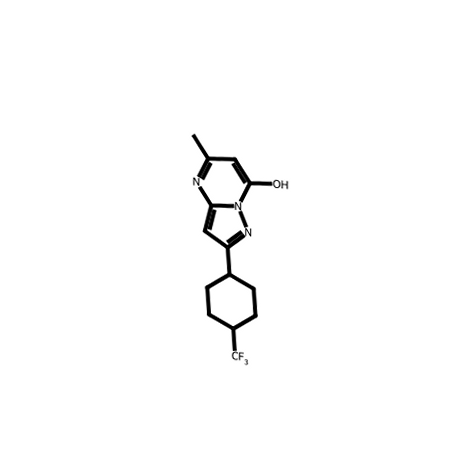 Cc1cc(O)n2nc(C3CCC(C(F)(F)F)CC3)cc2n1